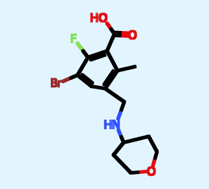 Cc1c(CNC2CCOCC2)cc(Br)c(F)c1C(=O)O